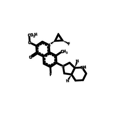 Cc1c(N2C[C@@H]3CCCN[C@@H]3C2)c(F)cc2c(=O)c(OC(=O)O)cn([C@@H]3C[C@@H]3F)c12